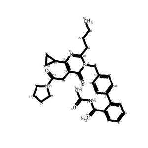 C=C(NC(=O)O)c1ccccc1-c1ccc(Cn2c(CCCC)nc(C3CC3)c(CC(=O)N3CCCC3)c2=O)cc1